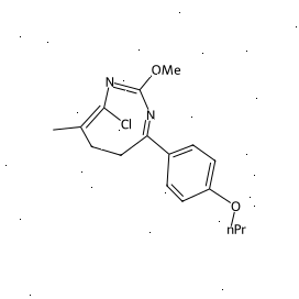 CCCOc1ccc(/C2=N/C(OC)=N\C(Cl)=C(/C)CC2)cc1